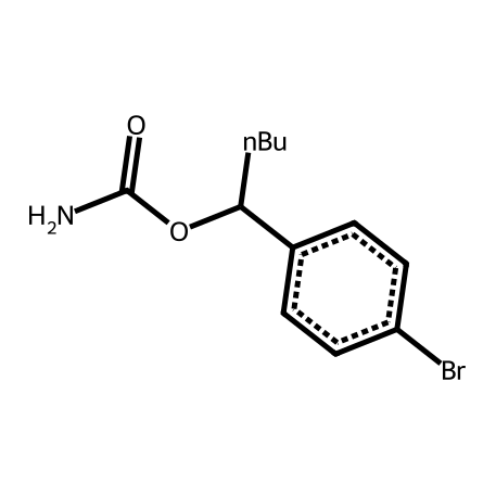 CCCCC(OC(N)=O)c1ccc(Br)cc1